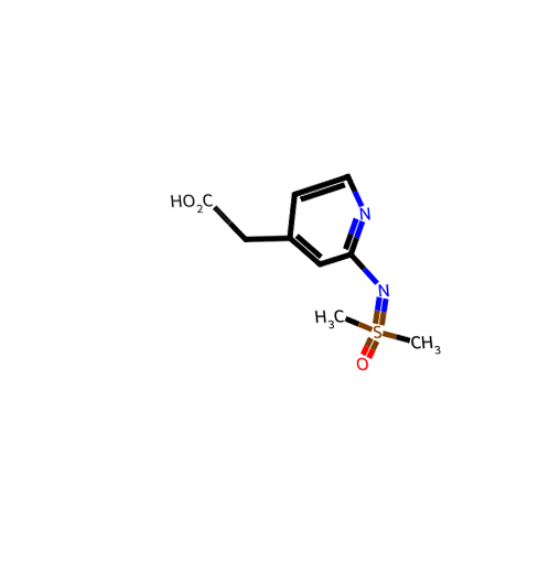 CS(C)(=O)=Nc1cc(CC(=O)O)ccn1